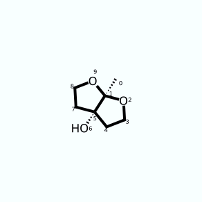 C[C@]12OCC[C@@]1(O)CCO2